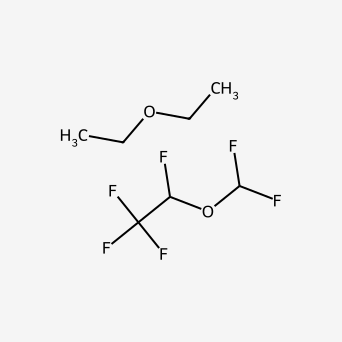 CCOCC.FC(F)OC(F)C(F)(F)F